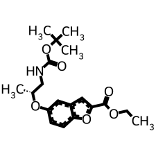 CCOC(=O)c1cc2cc(O[C@H](C)CNC(=O)OC(C)(C)C)ccc2o1